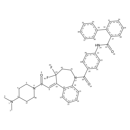 CN(C)C1CCN(C(=O)C=C2c3ccccc3N(C(=O)c3ccc(NC(=O)c4ccccc4-c4ccccc4)cc3)CCC2(F)F)CC1